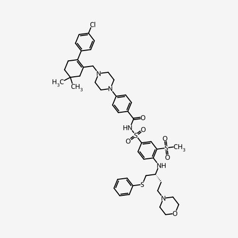 CC1(C)CCC(c2ccc(Cl)cc2)=C(CN2CCN(c3ccc(C(=O)NS(=O)(=O)c4ccc(N[C@H](CCN5CCOCC5)CSc5ccccc5)c(S(C)(=O)=O)c4)cc3)CC2)C1